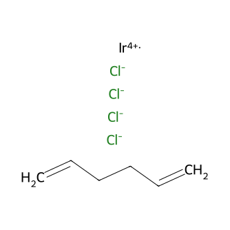 C=CCCC=C.[Cl-].[Cl-].[Cl-].[Cl-].[Ir+4]